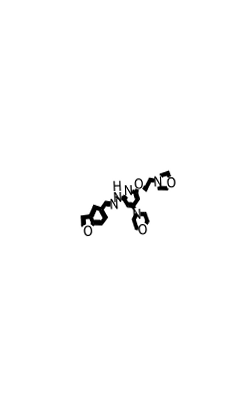 C(=N\Nc1cc(N2CCOCC2)cc(OCCN2CCOCC2)n1)/c1ccc2occc2c1